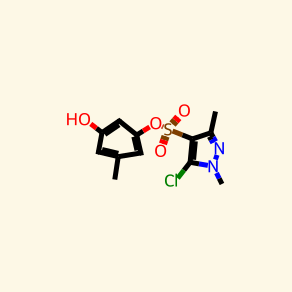 Cc1cc(O)cc(OS(=O)(=O)c2c(C)nn(C)c2Cl)c1